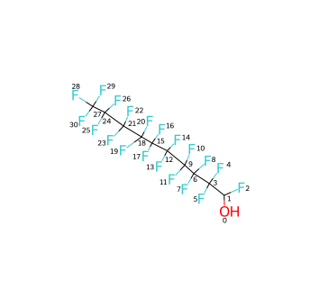 OC(F)C(F)(F)C(F)(F)C(F)(F)C(F)(F)C(F)(F)C(F)(F)C(F)(F)C(F)(F)C(F)(F)F